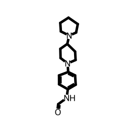 O=CNc1ccc(N2CCC(N3CCCCC3)CC2)cc1